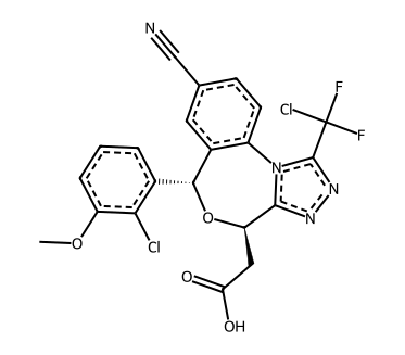 COc1cccc([C@H]2O[C@H](CC(=O)O)c3nnc(C(F)(F)Cl)n3-c3ccc(C#N)cc32)c1Cl